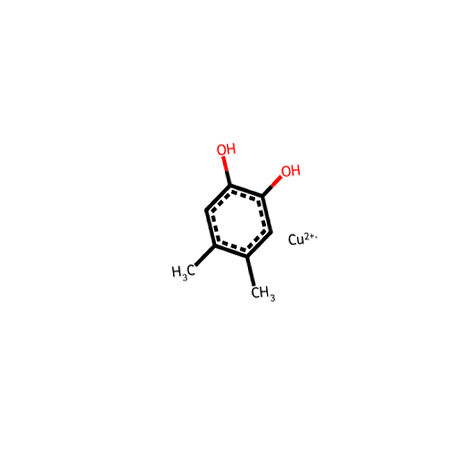 Cc1cc(O)c(O)cc1C.[Cu+2]